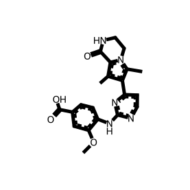 COc1cc(C(=O)O)ccc1Nc1nccc(-c2c(C)c3n(c2C)CCNC3=O)n1